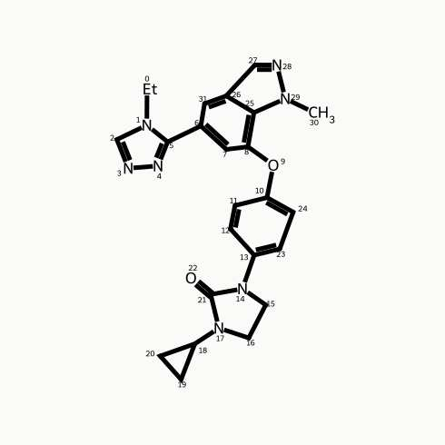 CCn1cnnc1-c1cc(Oc2ccc(N3CCN(C4CC4)C3=O)cc2)c2c(cnn2C)c1